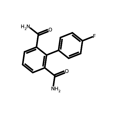 NC(=O)c1cccc(C(N)=O)c1-c1ccc(F)cc1